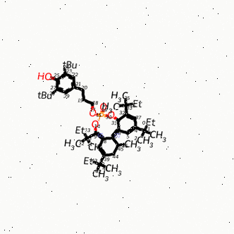 CCC(C)(C)C1=C/C2=C3/C(=C(/C(C)(C)CC)OP(=O)(OCCCc4cc(C(C)(C)C)c(O)c(C(C)(C)C)c4)OC2C(C(C)(C)CC)=C1)C=C(C(C)(C)CC)CC3C